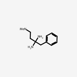 CNCCC(N)(N)Cc1ccccc1